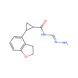 NN=CNC(=O)C1CC1c1cccc2c1CCO2